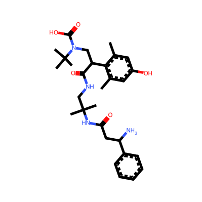 Cc1cc(O)cc(C)c1C(CN(C(=O)O)C(C)(C)C)C(=O)NCC(C)(C)NC(=O)CC(N)c1ccccc1